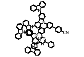 N#Cc1ccc(-c2ccc(-n3c4ccc(-n5c6ccccc6c6ccccc65)cc4c4cc(-n5c6ccccc6c6ccccc65)ccc43)c(-c3ccc(-n4c5ccc(-n6c7ccccc7c7ccccc76)cc5c5cc(-n6c7ccccc7c7ccccc76)ccc54)c(-c4nc(-c5ccccc5)nc(-c5ccccc5)n4)c3)c2)cc1